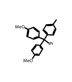 COc1ccc(C(c2ccc(C)cc2)(c2ccc(OC)cc2)C(C)C)cc1